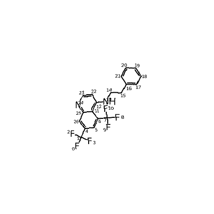 FC(F)(F)c1cc(C(F)(F)F)c2c(NCCc3ccccc3)ccnc2c1